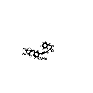 COc1ccc(/C=C2/SC(=O)NC2=O)cc1C#CCN1C(=O)COc2ccccc21